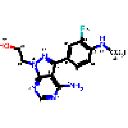 Nc1ncnc2c1c(-c1ccc(NC(=O)O)c(F)c1)nn2CCO